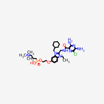 CC[n+]1c(CNC(=O)c2nc(Cl)c(N)nc2N)n(CC2CCCCC2)c2cc(OCCOP(=O)(O)CCC[N+](C)(C)C)ccc21